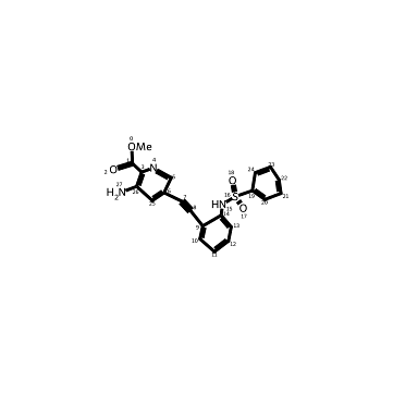 COC(=O)c1ncc(C#Cc2ccccc2NS(=O)(=O)c2ccccc2)cc1N